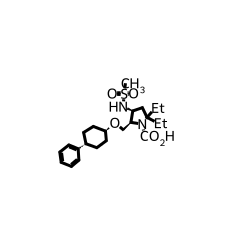 CCC1(CC)C[C@H](NS(C)(=O)=O)[C@H](CO[C@H]2CC[C@@H](c3ccccc3)CC2)N1C(=O)O